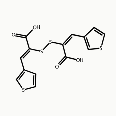 O=C(O)C(=Cc1ccsc1)SSC(=Cc1ccsc1)C(=O)O